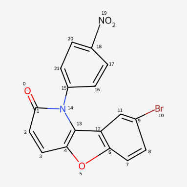 O=c1ccc2oc3ccc(Br)cc3c2n1-c1ccc([N+](=O)[O-])cc1